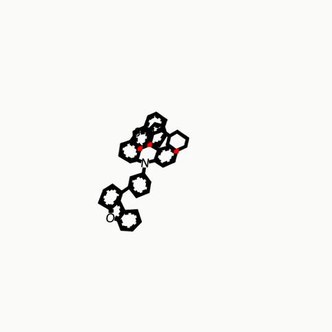 c1cc(-c2cccc3oc4ccccc4c23)cc(N(c2ccccc2-c2cccc3cccc(C4CCCCC4)c23)c2cccc3sc4ccccc4c23)c1